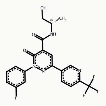 C[C@@H](CO)NC(=O)c1cc(-c2ccc(C(F)(F)F)nc2)nn(-c2cccc(F)c2)c1=O